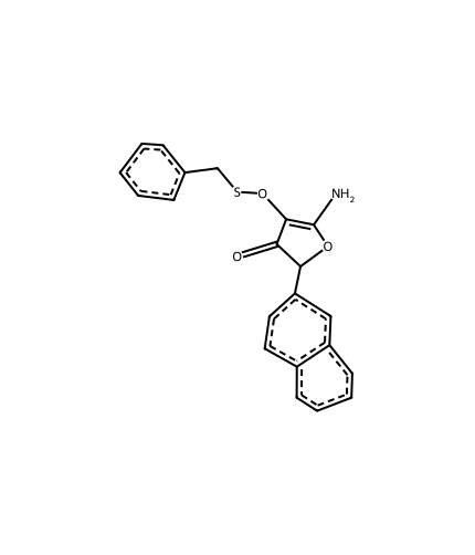 NC1=C(OSCc2ccccc2)C(=O)C(c2ccc3ccccc3c2)O1